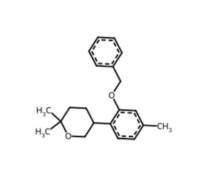 Cc1ccc(C2CCC(C)(C)OC2)c(OCc2ccccc2)c1